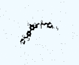 Nc1ccc(C=CC(=O)NCc2cc3cc(-c4ccc(C(=O)C(=O)N5CCOCC5)cc4)cc(Cl)c3o2)cn1